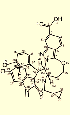 O=C(O)c1ccc2c3n(nc2c1)[C@@H]1[C@H](CCO3)N(CC2CC2)[C@@]2(C(=O)Nc3cc(Cl)ccc32)[C@H]1c1cccc(Cl)c1F